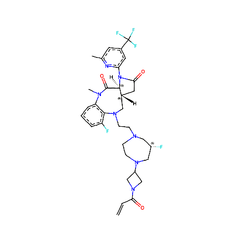 C=CC(=O)N1CC(N2CCN(CCN3C[C@H]4CC(=O)N(c5cc(C(F)(F)F)cc(C)n5)[C@@H]4C(=O)N(C)c4cccc(F)c43)C[C@H](F)C2)C1